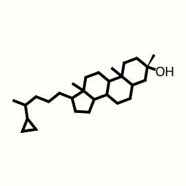 CC(CCCC1CCC2C3CCC4C[C@@](C)(O)CCC4(C)C3CCC12C)C1CC1